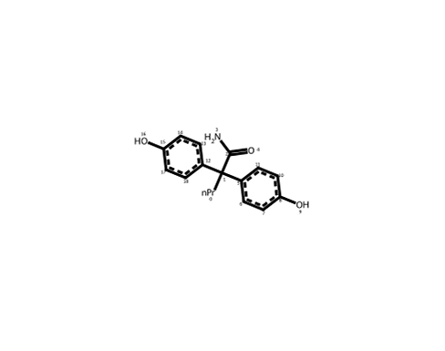 CCCC(C(N)=O)(c1ccc(O)cc1)c1ccc(O)cc1